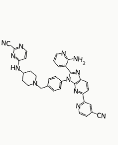 N#Cc1ccnc(-c2ccc3nc(-c4cccnc4N)n(-c4ccc(CN5CCC(Nc6ccnc(C#N)n6)CC5)cc4)c3n2)c1